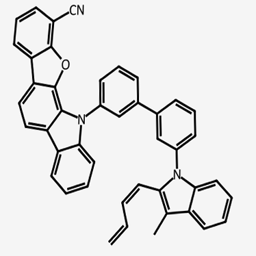 C=C/C=C\c1c(C)c2ccccc2n1-c1cccc(-c2cccc(-n3c4ccccc4c4ccc5c6cccc(C#N)c6oc5c43)c2)c1